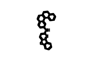 c1ccc2c(c1)ccc1ccc3ccc(Nc4ccc5oc6ccccc6c5n4)cc3c12